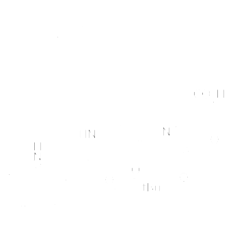 CC(C)(C)OC(=O)N(CC(=O)O)C(=O)C(Cc1ccccc1)NC(=O)C1CCCN1